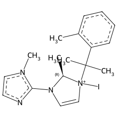 Cc1ccccc1C(C)(C)[N+]1(I)C=CN(c2nccn2C)[C@H]1C